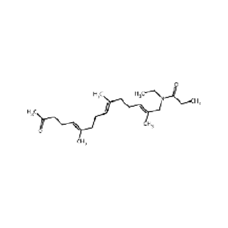 CCC(=O)N(CC)CC(C)=CCCC(C)=CCCC(C)=CCCC(C)=O